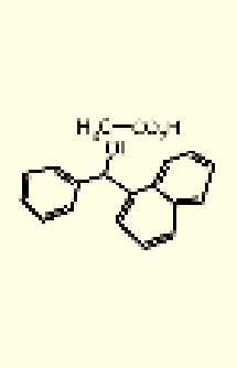 CC(=O)O.OC(c1ccccc1)c1cccc2ccccc12